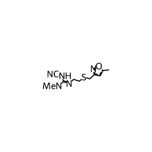 CN/C(=N/CCSCc1cc(C)on1)NC#N